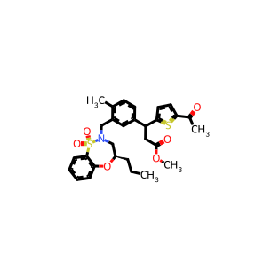 CCC[C@@H]1CN(Cc2cc(C(CC(=O)OC)c3ccc(C(C)=O)s3)ccc2C)S(=O)(=O)c2ccccc2O1